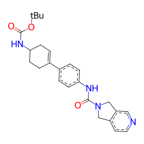 CC(C)(C)OC(=O)NC1CC=C(c2ccc(NC(=O)N3Cc4ccncc4C3)cc2)CC1